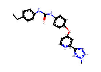 CCc1ccc(NC(=O)Nc2ccc(Oc3ccnc(-c4nnn(C)n4)c3)cc2)cc1